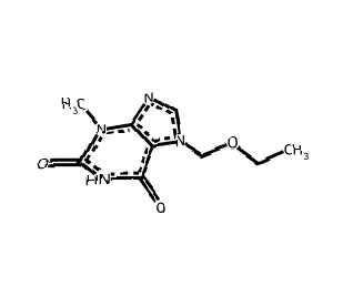 CCOCn1cnc2c1c(=O)[nH]c(=O)n2C